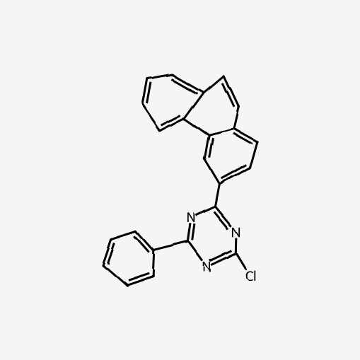 Clc1nc(-c2ccccc2)nc(-c2ccc3ccc4ccccc4c3c2)n1